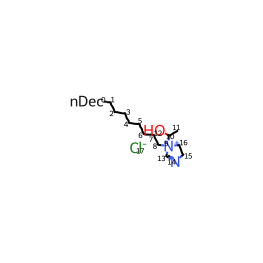 CCCCCCCCCCCCCCCCCC[N+]1(C(C)O)C=NCC1.[Cl-]